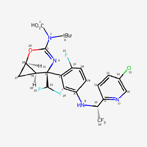 CC(C)(C)N(C(=O)O)C1=N[C@@](c2cc(N[C@H](c3ccc(Cl)cn3)C(F)(F)F)ccc2F)(C(F)F)[C@H]2C[C@H]2O1